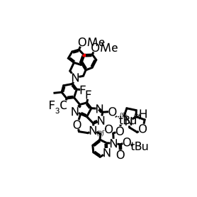 COc1ccc(CN(Cc2ccc(OC)cc2)c2cc(C)c(C(F)(F)F)c(-c3nc4c5c(nc(OC[C@@H]6CC[C@H]7COCCN76)nc5c3F)N([C@H](C)c3cccnc3N(C(=O)OC(C)(C)C)C(=O)OC(C)(C)C)CCO4)c2F)cc1